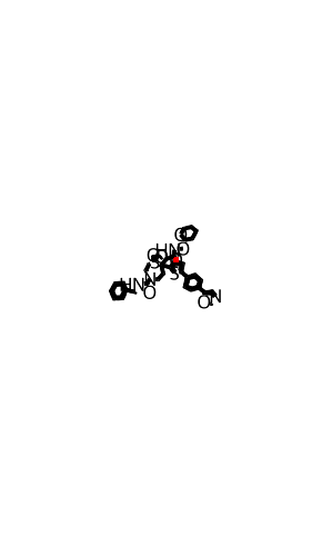 O=C(CC1(c2ccc(-c3ccc(-c4cnco4)cc3)s2)CCN(C(=O)NCc2ccccc2)CCS1(=O)=O)NOC1CCCCO1